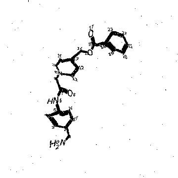 NCc1ccc(NC(=O)CN2CCC(COC(=O)c3ccccc3)CC2)cc1